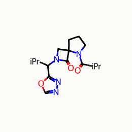 CC(C)C(=O)N1CCCC12CN(C(c1nnco1)C(C)C)C2=O